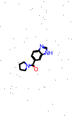 O=C(c1ccc2nc[nH]c2c1)N1CCCC1